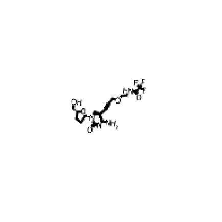 Nc1nc(=O)n([C@H]2CC[C@@H](CO)O2)cc1C#CCOCCNC(=O)C(F)(F)F